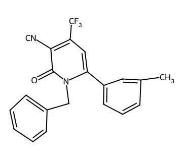 [C-]#[N+]c1c(C(F)(F)F)cc(-c2cccc(C)c2)n(Cc2ccccc2)c1=O